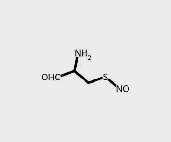 NC(C=O)CSN=O